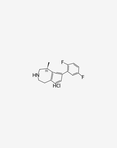 C[C@@H]1CNCCc2ccc(-c3cc(F)ccc3F)cc21.Cl